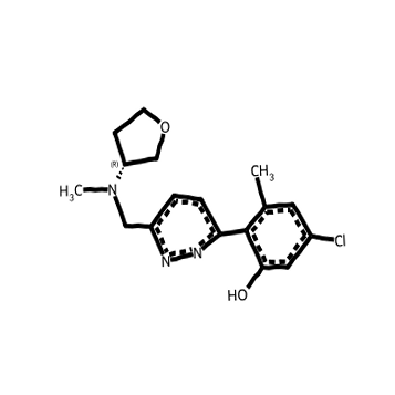 Cc1cc(Cl)cc(O)c1-c1ccc(CN(C)[C@@H]2CCOC2)nn1